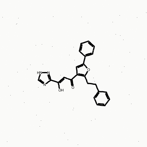 O=C(C=C(O)c1nc[nH]n1)c1cc(-c2ccccc2)oc1CCc1ccccc1